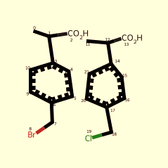 CC(C(=O)O)c1ccc(CBr)cc1.CC(C(=O)O)c1ccc(CCl)cc1